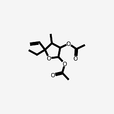 C=CC1(CC)OC(OC(C)=O)C(OC(C)=O)C1C